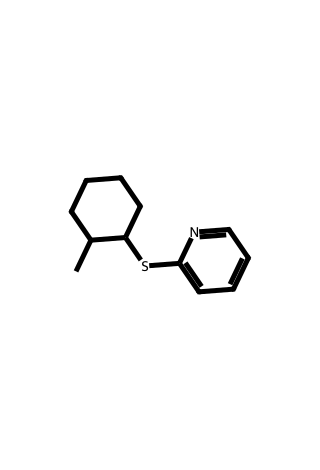 CC1CCCCC1Sc1ccccn1